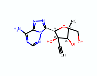 [C-]#[N+][C@]1(CO)O[C@@H](c2nnc3c(N)ncnn23)[C@@](O)(C#C)[C@@H]1O